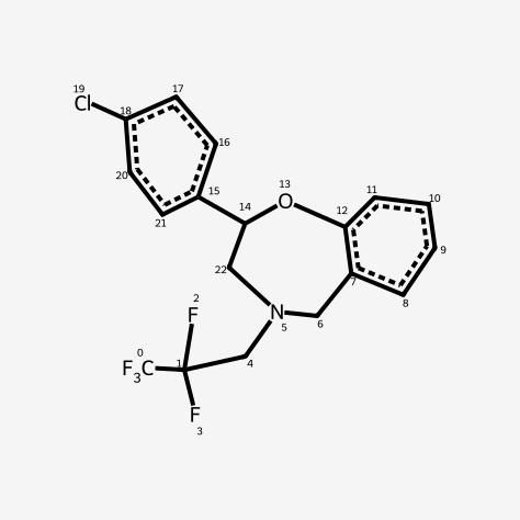 FC(F)(F)C(F)(F)CN1Cc2ccccc2OC(c2ccc(Cl)cc2)C1